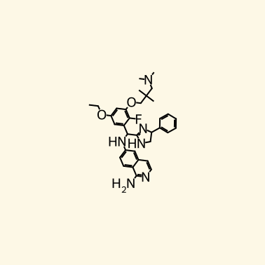 CCOc1cc(OCC(C)(C)CN(C)C)c(F)c(C(Nc2ccc3c(N)nccc3c2)C2=NC(c3ccccc3)CN2)c1